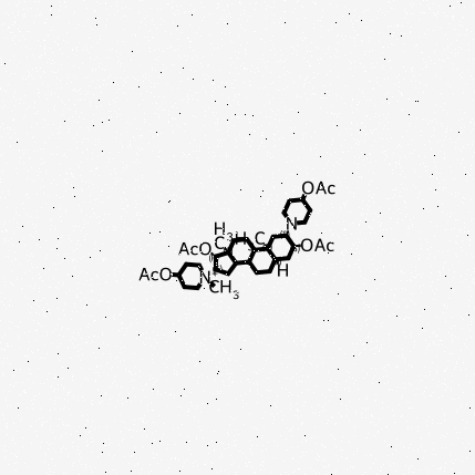 CC(=O)OC1CCN([C@H]2C[C@]3(C)C4CC[C@@]5(C)C(C[C@H]([N+]6(C)CCC(OC(C)=O)CC6)[C@@H]5OC(C)=O)C4CC[C@H]3C[C@@H]2OC(C)=O)CC1